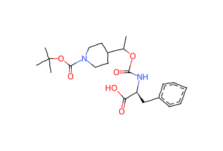 CC(OC(=O)N[C@@H](Cc1ccccc1)C(=O)O)C1CCN(C(=O)OC(C)(C)C)CC1